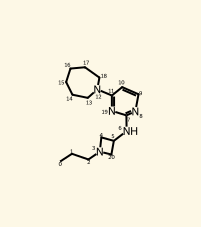 CCCN1CC(Nc2nccc(N3CCCCCC3)n2)C1